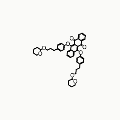 O=C1c2ccccc2C(=O)c2c1c(Oc1ccc(CCCOC3CCCCO3)cc1)c1ccccc1c2Oc1ccc(CCCOC2CCCCO2)cc1